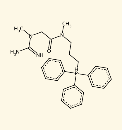 CN(CC(=O)N(C)CCC[PH](c1ccccc1)(c1ccccc1)c1ccccc1)C(=N)N